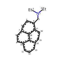 CCN(CC)Cc1ccc2ccc3cccc4ccc1c2c34